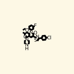 CCOc1ccc(F)cc1-n1c(CC(C)C)c(C(=O)N2CCNCC2)cc(-c2nc(-c3ccc(Cl)cc3)cs2)c1=O